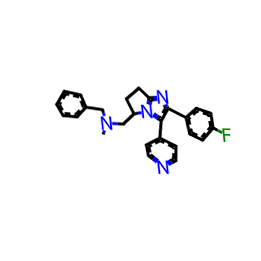 CN(Cc1ccccc1)CC1CCc2nc(-c3ccc(F)cc3)c(-c3ccncc3)n21